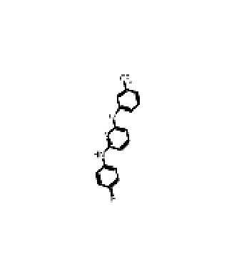 Fc1ccc(Nc2cccc(Oc3cccc(C(F)(F)F)c3)n2)cc1